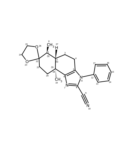 C[C@H]1[C@@H]2CCc3c(nc(C#N)n3-c3ccccc3)[C@@]2(C)CCC12OCCO2